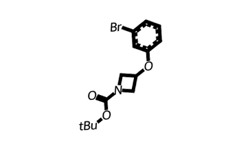 CC(C)(C)OC(=O)N1CC(Oc2cccc(Br)c2)C1